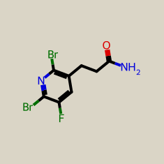 NC(=O)CCc1cc(F)c(Br)nc1Br